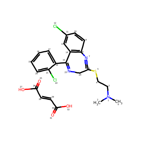 CN(C)CCSC1=Nc2ccc(Cl)cc2C(c2ccccc2Cl)=NC1.O=C(O)C=CC(=O)O